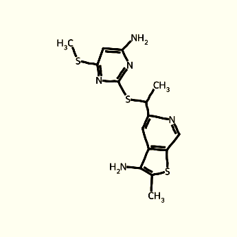 CSc1cc(N)nc(SC(C)c2cc3c(N)c(C)sc3cn2)n1